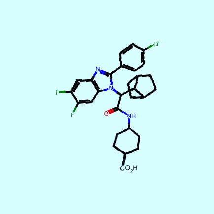 O=C(O)C1CCC(NC(=O)C(C2C3CCC2CC3)n2c(-c3ccc(Cl)cc3)nc3cc(F)c(F)cc32)CC1